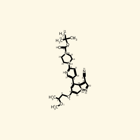 COC(C)COc1cc(-c2ccc(N3CCN(C(=O)OC(C)(C)C)CC3)nc2)c2c(C#N)cnn2c1